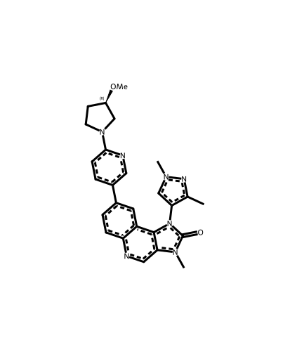 CO[C@@H]1CCN(c2ccc(-c3ccc4ncc5c(c4c3)n(-c3cn(C)nc3C)c(=O)n5C)cn2)C1